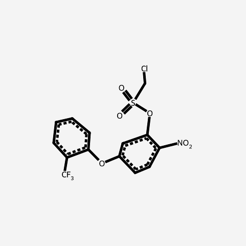 O=[N+]([O-])c1ccc(Oc2ccccc2C(F)(F)F)cc1OS(=O)(=O)CCl